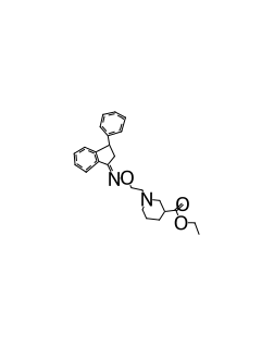 CCOC(=O)C1CCCN(CCON=C2CC(c3ccccc3)c3ccccc32)C1